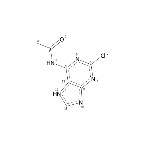 CC(=O)Nc1nc(Cl)nc2nc[nH]c12